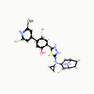 COc1cc(-c2cc(O)c(-c3nnc(N(C4CC4)C4CC5CCC(N5)C4F)s3)cc2F)cc(F)n1